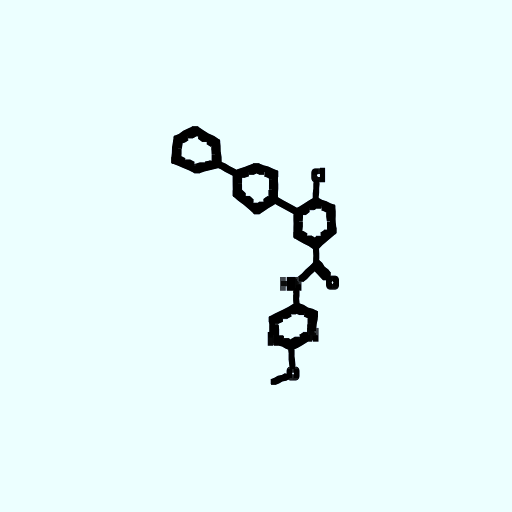 COc1ncc(NC(=O)c2ccc(Cl)c(-c3ccc(-c4ccccc4)cc3)c2)cn1